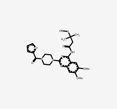 COc1cc2nc(N3CCN(C(=O)c4ccco4)CC3)nc(NC(=O)CC(C)(C)SN=O)c2cc1OC